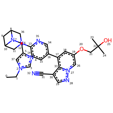 CCn1cnc(CN2C3CC2CN(c2ccc(-c4cc(OCC(C)(C)O)cn5ncc(C#N)c45)cn2)C3)c1